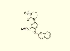 CNCc1cc(N2CCCN(C)C2=O)ccc1Oc1ccc2ccccc2c1